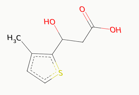 Cc1ccsc1C(O)CC(=O)O